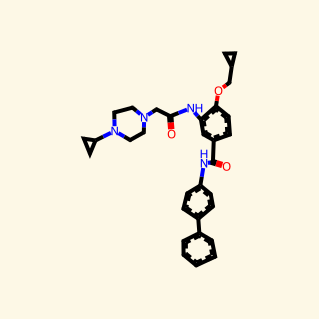 O=C(CN1CCN(C2CC2)CC1)Nc1cc(C(=O)Nc2ccc(-c3ccccc3)cc2)ccc1OCC1CC1